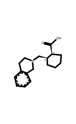 O=C(O)[C@H]1CCCC[C@H]1CN1CCc2ccccc2C1